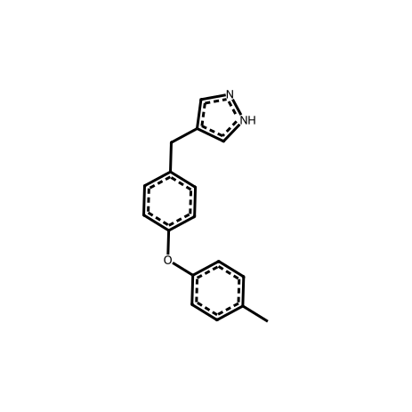 Cc1ccc(Oc2ccc(Cc3cn[nH]c3)cc2)cc1